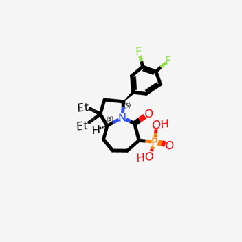 CCC1(CC)C[C@@H](c2ccc(F)c(F)c2)N2C(=O)C(P(=O)(O)O)CCC[C@H]21